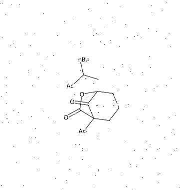 CC(=O)C12CCCC(OC1=O)C2=O.CCCCC(C)C(C)=O